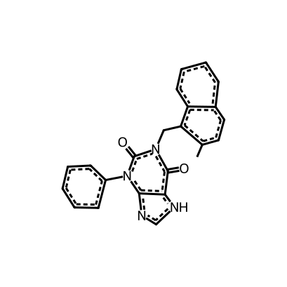 Cc1ccc2ccccc2c1Cn1c(=O)c2[nH]cnc2n(-c2ccccc2)c1=O